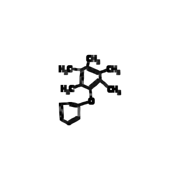 Cc1c(C)c(C)c(Oc2ccccc2)c(C)c1C